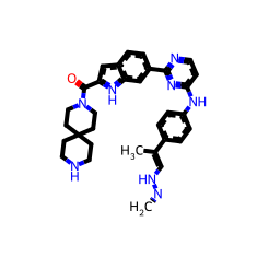 C=NN/C=C(\C)c1ccc(Nc2ccnc(-c3ccc4cc(C(=O)N5CCC6(CCNCC6)CC5)[nH]c4c3)n2)cc1